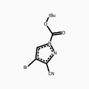 CC(C)(C)OC(=O)n1cc(Br)c(C#N)n1